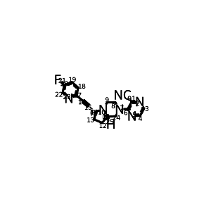 N#Cc1nccnc1N1CCN2[C@@H](CC[C@@H]2C#Cc2ccc(F)cn2)C1